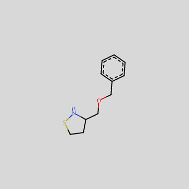 c1ccc(COCC2CCSN2)cc1